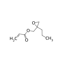 C=CC(=O)OCC1(CCC)CO1